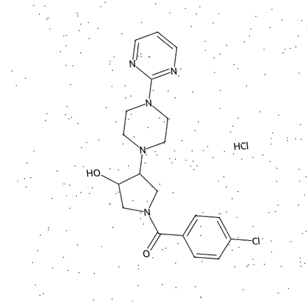 Cl.O=C(c1ccc(Cl)cc1)N1CC(O)C(N2CCN(c3ncccn3)CC2)C1